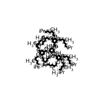 CC(C)CCC[C@@H](C)CCOc1cc(C(=O)Nc2cc(NC(=O)c3cc(OCC[C@H](C)CCCC(C)C)c(OCC[C@H](C)CCCC(C)C)c(OCC[C@H](C)CCCC(C)C)c3)cc(NC(=O)c3cc(OCC[C@H](C)CCCC(C)C)c(OCC[C@H](C)CCCC(C)C)c(OCC[C@H](C)CCCC(C)C)c3)c2)cc(OCC[C@H](C)CCCC(C)C)c1OCC[C@H](C)CCCC(C)C